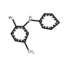 Cc1ccc(C(C)C)c(Nc2ccccc2)c1